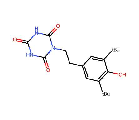 CC(C)(C)c1cc(CCn2c(=O)[nH]c(=O)[nH]c2=O)cc(C(C)(C)C)c1O